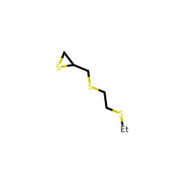 CCSCCSCC1CS1